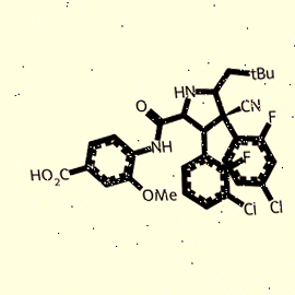 COc1cc(C(=O)O)ccc1NC(=O)C1NC(CC(C)(C)C)[C@](C#N)(c2ccc(Cl)cc2F)C1c1cccc(Cl)c1F